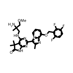 COCC(C)(N)CNc1nc(-c2c(C)nc3c(OCc4c(F)ccc(F)c4F)cccn23)nc2c1C(C)(C)C(=O)N2